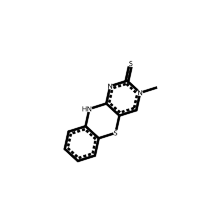 Cn1cc2c(nc1=S)Nc1ccccc1S2